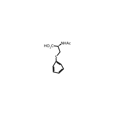 CC(=O)N[C@@H](CSc1ccccc1)C(=O)O